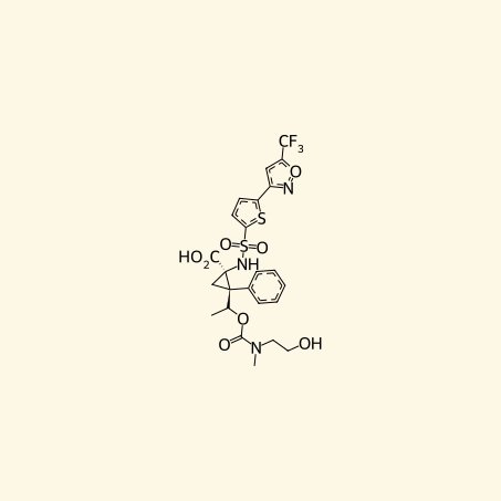 CC(OC(=O)N(C)CCO)[C@@]1(c2ccccc2)C[C@]1(NS(=O)(=O)c1ccc(-c2cc(C(F)(F)F)on2)s1)C(=O)O